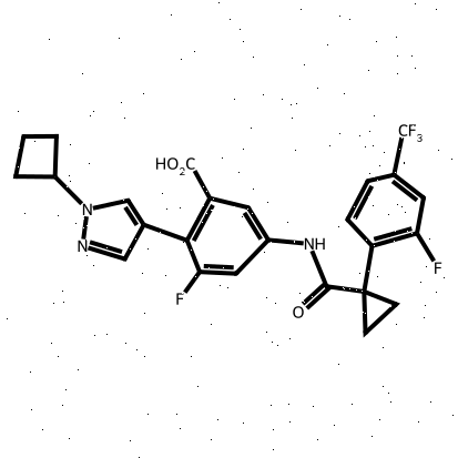 O=C(O)c1cc(NC(=O)C2(c3ccc(C(F)(F)F)cc3F)CC2)cc(F)c1-c1cnn(C2CCC2)c1